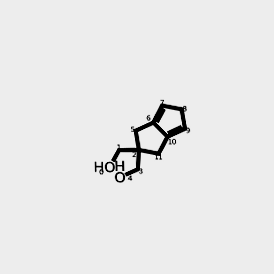 OCC1(CO)CC2=CCC=C2C1